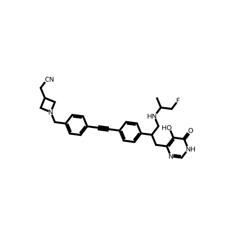 CC(CF)NCC(Cc1nc[nH]c(=O)c1O)c1ccc(C#Cc2ccc(CN3CC(CC#N)C3)cc2)cc1